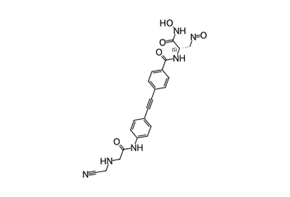 N#CCNCC(=O)Nc1ccc(C#Cc2ccc(C(=O)N[C@@H](CN=O)C(=O)NO)cc2)cc1